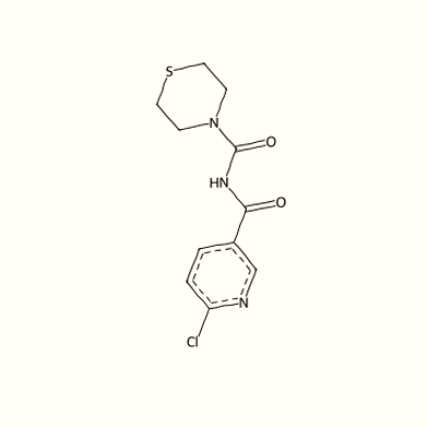 O=C(NC(=O)N1CCSCC1)c1ccc(Cl)nc1